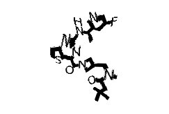 CC(Nc1nc(C(=O)N2CC(CN(C)C(=O)CC(C)(C)C)C2)c2sccc2n1)c1cncc(F)c1